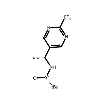 C[C@@H](N[S@@+]([O-])C(C)(C)C)c1cnc(C(F)(F)F)nc1